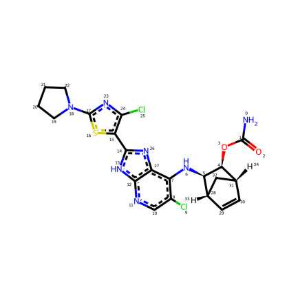 NC(=O)O[C@@H]1[C@H](Nc2c(Cl)cnc3[nH]c(-c4sc(N5CCCC5)nc4Cl)nc23)[C@H]2C=C[C@@H]1C2